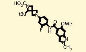 COc1cc2nn(C)cc2cc1C(=O)Nc1ccc(N2CC3(C2)CN(C(=O)O)C3C(C)(C)C)cc1F